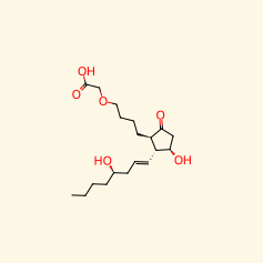 CCCC[C@@H](O)CC=C[C@H]1[C@H](O)CC(=O)[C@@H]1CCCCOCC(=O)O